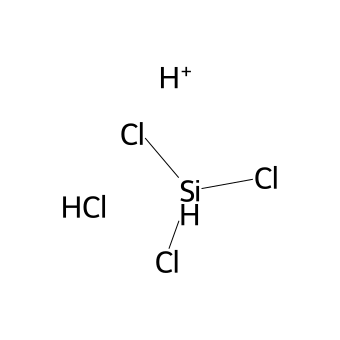 Cl.Cl[SiH](Cl)Cl.[H+]